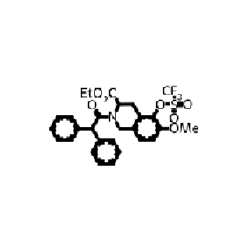 CCOC(=O)C1Cc2c(ccc(OC)c2OS(=O)(=O)C(F)(F)F)CN1C(=O)C(c1ccccc1)c1ccccc1